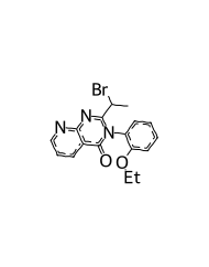 CCOc1ccccc1-n1c(C(C)Br)nc2ncccc2c1=O